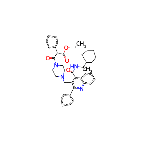 CCOC(=O)C(C(=O)N1CCN(Cc2c(-c3ccccc3)nc3ccccc3c2C(=O)N[C@@H](C)C2CCCCC2)CC1)c1ccccc1